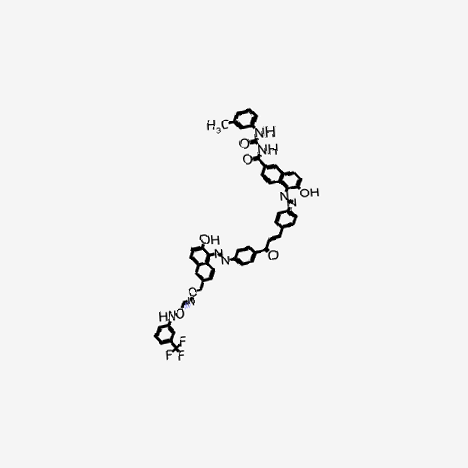 Cc1cccc(NC(=O)NC(=O)c2ccc3c(N=Nc4ccc(C=CC(=O)c5ccc(N=Nc6c(O)ccc7cc(CO/N=C/ONc8cccc(C(F)(F)F)c8)ccc67)cc5)cc4)c(O)ccc3c2)c1